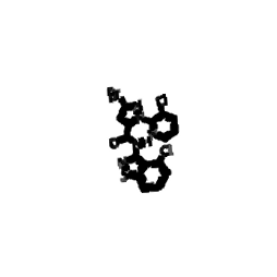 O=C(Nc1nsc2cccc(Cl)c12)c1cc(Br)nn1-c1ncccc1Cl